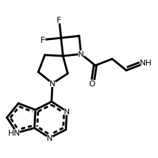 N=CCC(=O)N1CC(F)(F)C12CCN(c1ncnc3[nH]ccc13)C2